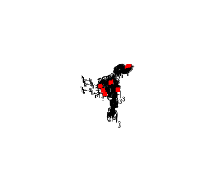 COC(=O)c1ccc(C#Cc2ccc3c(c2)CN(C(=O)[C@@H](NC(=O)[C@H](C)N(C)C(=O)OC(C)(C)C)C(C)(C)C)[C@H](C(=O)N[C@@H]2CCCc4ccccc42)C3)cc1